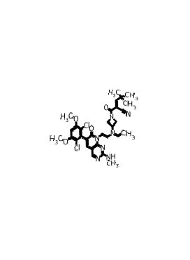 CCN(CCn1c(=O)c(-c2c(Cl)c(OC)cc(OC)c2Cl)cc2cnc(NC)nc21)C1CN(C(=O)C(C#N)=CC(C)(C)C)C1